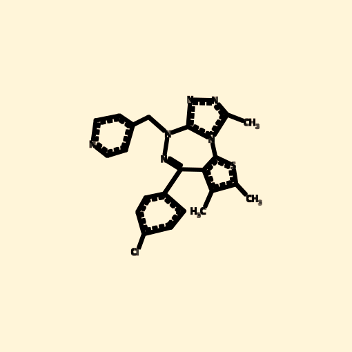 Cc1sc2c(c1C)C(c1ccc(Cl)cc1)=NN(Cc1ccncc1)c1nnc(C)n1-2